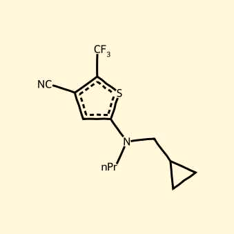 CCCN(CC1CC1)c1cc(C#N)c(C(F)(F)F)s1